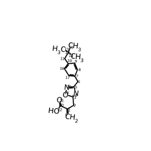 C=C(Cc1nc(Cc2ccc(CC(C)(C)C)cc2)no1)C(=O)O